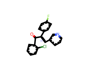 O=C(/C(=C/c1cccnc1)c1ccc(F)cc1)c1ccccc1Cl